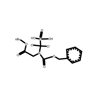 CCCCOC(=O)CN(C(=O)OCc1ccccc1)C(Cl)(Cl)P(=O)(O)O